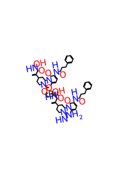 C=C(C(=O)NO)C1CCN(C(=N)N)C(n2c(C)ccc(NC(=O)CCc3ccccc3)c2=O)C1.C=C(C(=O)NO)C1CCN(C(=O)OC(C)(C)C)C(n2c(C)ccc(NC(=O)CCc3ccccc3)c2=O)C1